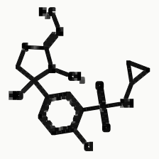 C/N=C1\SCC(O)(c2ccc(Cl)c(S(=O)(=O)NC3CC3)c2)N1C